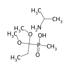 CC(C)N.CCC(OC)(OC)P(C)(=O)O